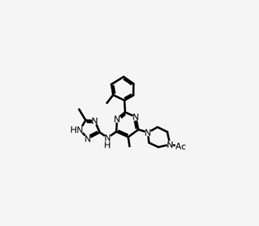 CC(=O)N1CCN(c2nc(-c3ccccc3C)nc(Nc3n[nH]c(C)n3)c2C)CC1